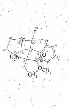 CCC(N)(C(=O)OC)C(c1ccccc1)(C1CCCC1)C(F)(F)F